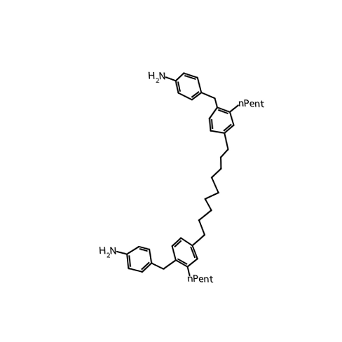 CCCCCc1cc(CCCCCCCCCc2ccc(Cc3ccc(N)cc3)c(CCCCC)c2)ccc1Cc1ccc(N)cc1